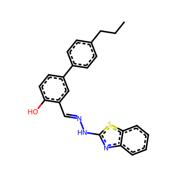 CCCc1ccc(-c2ccc(O)c(/C=N/Nc3nc4ccccc4s3)c2)cc1